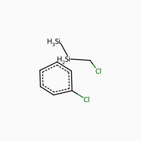 Clc1ccccc1.[SiH3][SiH2]CCl